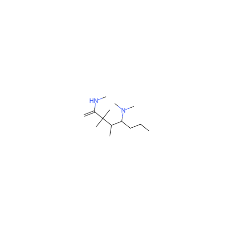 C=C(NC)C(C)(C)C(C)C(CCC)N(C)C